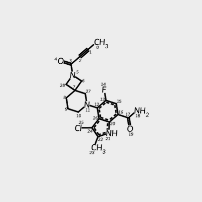 CC#CC(=O)N1CC2(CCCN(c3c(F)cc(C(N)=O)c4[nH]c(C)c(Cl)c34)C2)C1